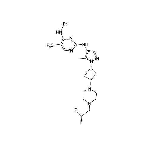 CCNc1nc(Nc2cnn([C@H]3C[C@@H](N4CCN(CC(F)F)CC4)C3)c2C)ncc1C(F)(F)F